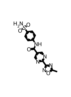 Cc1nc(-c2ncc(C(=O)Nc3ccc(S(N)(=O)=O)cc3)cn2)no1